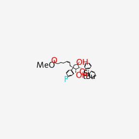 COC(=O)CCC/C=C\C[C@@]1(c2ccc(F)cc2)C[C@@H](O)[C@H](CO[Si](c2ccccc2)(c2ccccc2)C(C)(C)C)[C@H]1CO